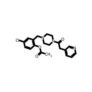 CC(=O)Oc1ccc(Cl)cc1CN1CCN(C(=O)Cc2cccnc2)CC1